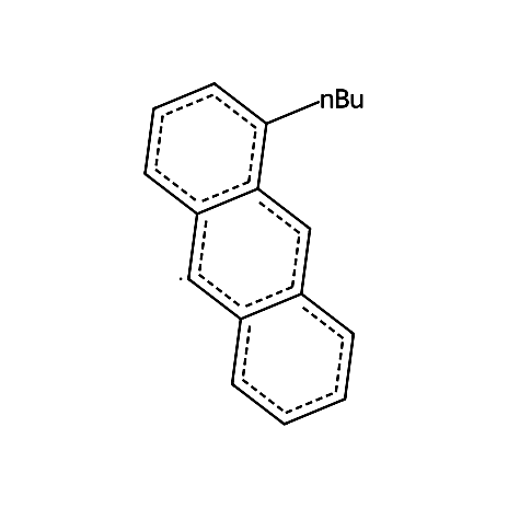 CCCCc1cccc2[c]c3ccccc3cc12